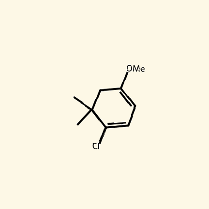 COC1=CC=C(Cl)C(C)(C)C1